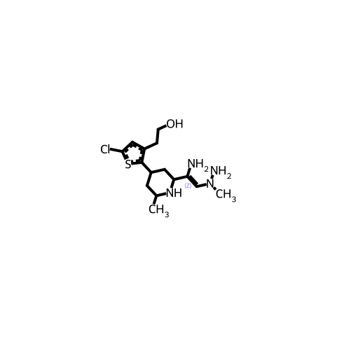 CC1CC(c2sc(Cl)cc2CCO)CC(/C(N)=C/N(C)N)N1